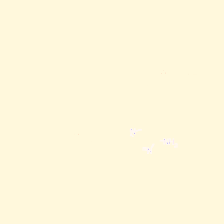 CCCCOCC1CC=C(c2cnc(N)c(-c3ccc(C(=O)OC)c(F)c3)n2)CC1